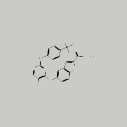 CCOC(=O)C(C)(C)c1ccc(Nc2ncc(F)c(Nc3ccc4oc(C(=O)OC)cc4c3)n2)cc1